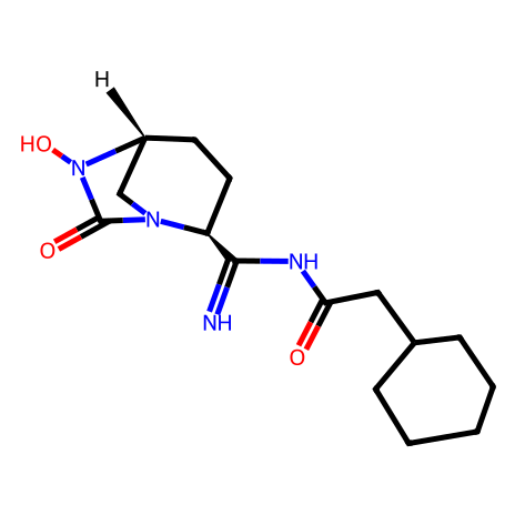 N=C(NC(=O)CC1CCCCC1)[C@@H]1CC[C@@H]2CN1C(=O)N2O